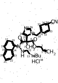 C=CCOC(=O)[C@](C)(C(=O)N(NCC[C@@H](C)CC)c1cccc2ccccc12)c1cncn1Cc1ccc(C#N)cc1.Cl